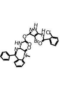 CN1C(=O)[C@H](NC(=O)Oc2n[nH]c(NC(=O)c3ccccc3Cl)c2Br)N=C(c2ccccc2)c2ccccc21